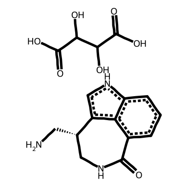 NC[C@H]1CNC(=O)c2cccc3[nH]cc1c23.O=C(O)C(O)C(O)C(=O)O